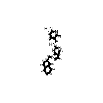 Cc1cc(N)nc(C)c1CNc1ncc2ccn(Cc3ccc4ccccc4c3)c2n1